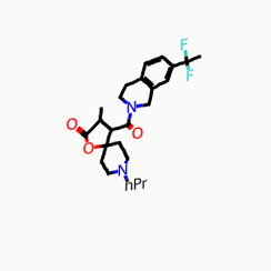 CCCN1CCC2(CC1)OC(=O)C(C)C2C(=O)N1CCc2ccc(C(C)(F)F)cc2C1